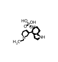 CCN1CCC=C(c2cccc3[nH]ccc23)C1.O=P(O)(O)O